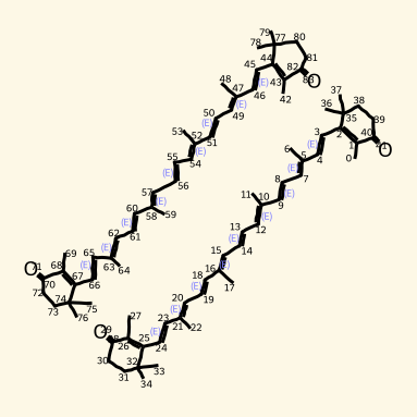 CC1=C(/C=C/C(C)=C/C=C/C(C)=C/C=C/C=C(C)/C=C/C=C(C)/C=C/C2=C(C)C(=O)CCC2(C)C)C(C)(C)CCC1=O.CC1=C(/C=C/C(C)=C/C=C/C(C)=C/C=C/C=C(C)/C=C/C=C(C)/C=C/C2=C(C)C(=O)CCC2(C)C)C(C)(C)CCC1=O